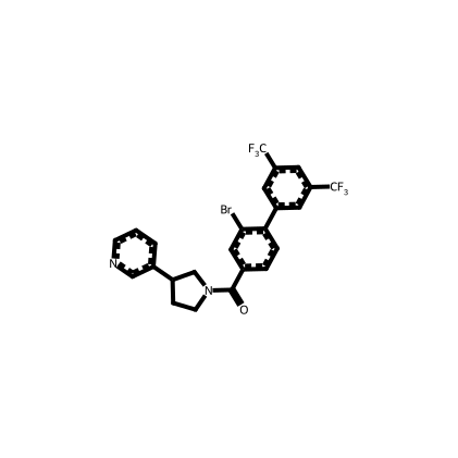 O=C(c1ccc(-c2cc(C(F)(F)F)cc(C(F)(F)F)c2)c(Br)c1)N1CCC(c2cccnc2)C1